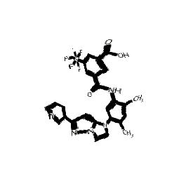 Cc1cc(C)c(-n2ccn3nc(-c4cccnc4)cc23)cc1NC(=O)c1cc(C(=O)O)cc(S(F)(F)(F)(F)F)c1